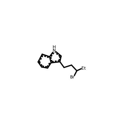 CCC(Br)CCc1c[nH]c2ccccc12